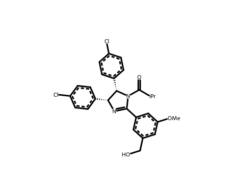 COc1cc(CO)cc(C2=N[C@H](c3ccc(Cl)cc3)[C@H](c3ccc(Cl)cc3)N2C(=O)C(C)C)c1